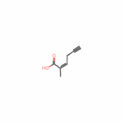 C#CCC=C(C)C(=O)O